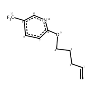 C=CCCCOc1ccc(C(F)(F)F)cn1